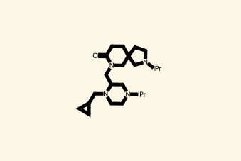 CC(C)N1CCN(CC2CC2)C(CN2CC3(CCC2=O)CCN(C(C)C)C3)C1